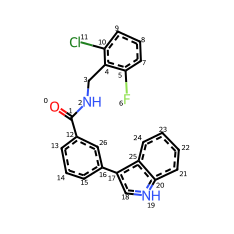 O=C(NCc1c(F)cccc1Cl)c1cccc(-c2c[nH]c3ccccc23)c1